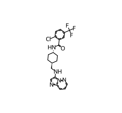 O=C(N[C@H]1CC[C@H](CNc2cnc3cccnn23)CC1)c1cc(C(F)(F)F)ccc1Cl